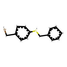 BrCc1ccc(SCc2ccccc2)cc1